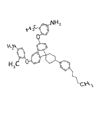 CCCCCc1ccc(C2CCC(c3ccc(Oc4ccc(N)cc4C)cc3)(c3ccc(Oc4ccc(N)cc4C)cc3)CC2)cc1